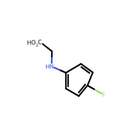 O=C(O)CNc1ccc(F)cc1